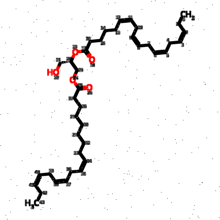 CC/C=C\C/C=C\C/C=C\C/C=C\CCCCC(=O)O[C@@H](CO)COC(=O)CCCCCCC/C=C\C/C=C\C/C=C\CC